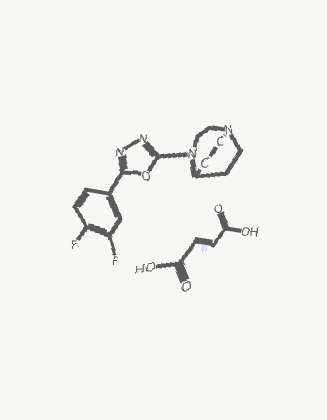 Fc1ccc(-c2nnc(N3CCN4CCC3CC4)o2)cc1F.O=C(O)/C=C/C(=O)O